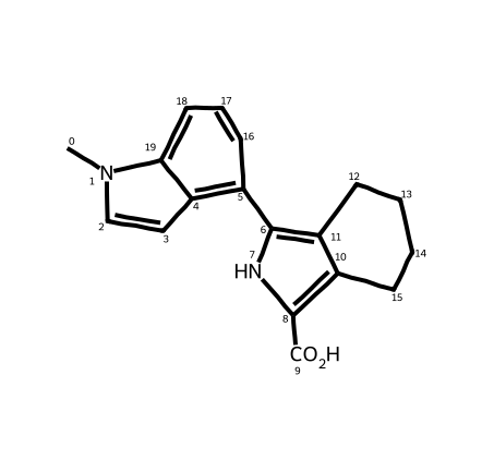 Cn1ccc2c(-c3[nH]c(C(=O)O)c4c3CCCC4)cccc21